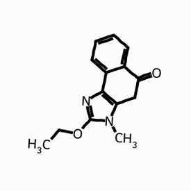 CCOc1nc2c(n1C)CC(=O)c1ccccc1-2